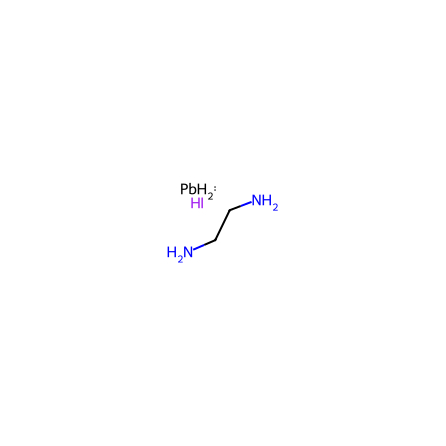 I.NCCN.[PbH2]